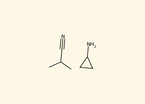 CC(C)C#N.NC1CC1